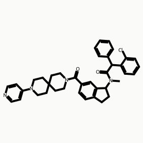 CN(C(=O)C(c1ccccc1)c1ccccc1Cl)C1CCc2ccc(C(=O)N3CCC4(CC3)CCN(c3ccncc3)CC4)cc21